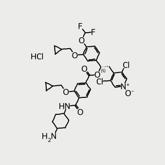 Cl.NC1CCC(NC(=O)c2ccc(C(=O)O[C@@H](Cc3c(Cl)c[n+]([O-])cc3Cl)c3ccc(OC(F)F)c(OCC4CC4)c3)cc2OCC2CC2)CC1